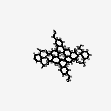 CC(C)c1cccc(C(C)C)c1-n1c(=O)c2cc3c4ccc(C=O)cc4c4cc5c(=O)n(-c6c(C(C)C)cccc6C(C)C)c(=O)c6cc7c8ccc(C=O)cc8c8cc(c1=O)c2c1c3c4c(c65)c7c81